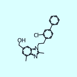 Cc1cc(CO)cc2c1nc(C)n2CCc1ccc(-c2ccccc2)cc1Cl